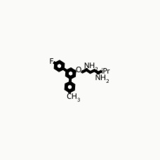 Cc1ccc(-c2cc(OC[C@@H](N)CCC(N)C(C)C)cc(-c3ccc(F)cc3)c2)cc1